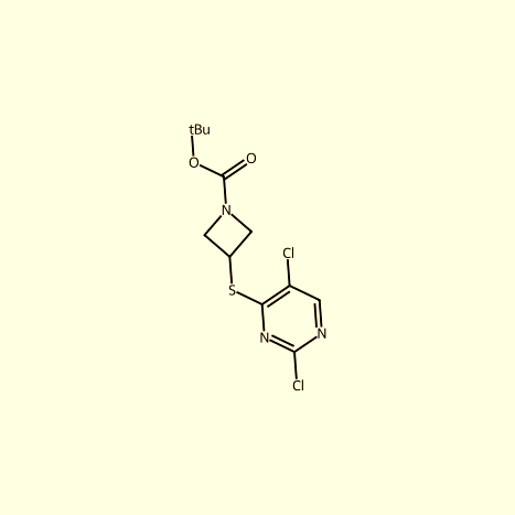 CC(C)(C)OC(=O)N1CC(Sc2nc(Cl)ncc2Cl)C1